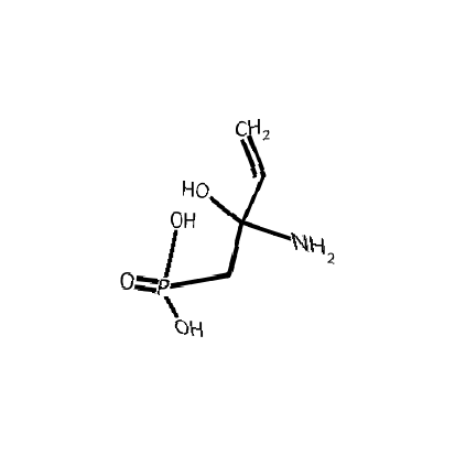 C=CC(N)(O)CP(=O)(O)O